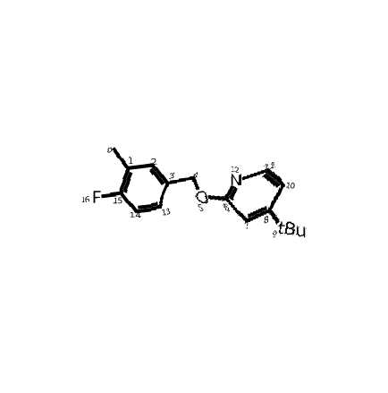 Cc1cc(COc2cc(C(C)(C)C)ccn2)ccc1F